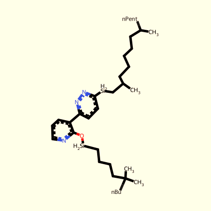 CCCCCC(C)CCCCCC(C)C[SiH2]c1ccc(-c2cccnc2O[SiH2]CCCCC(C)(C)CCCC)nn1